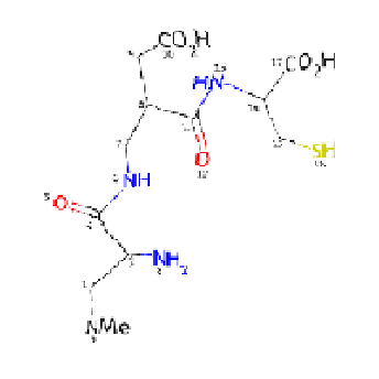 CNCC(N)C(=O)NCC(CC(=O)O)C(=O)NC(CS)C(=O)O